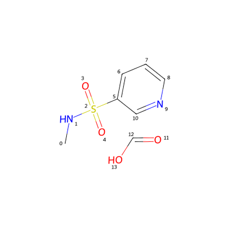 CNS(=O)(=O)c1cccnc1.O=CO